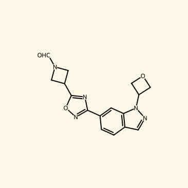 O=CN1CC(c2nc(-c3ccc4cnn(C5COC5)c4c3)no2)C1